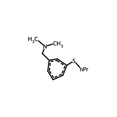 [CH2]CCSc1cccc(CN(C)C)c1